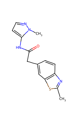 Cc1nc2ccc(CC(=O)Nc3ccnn3C)cc2s1